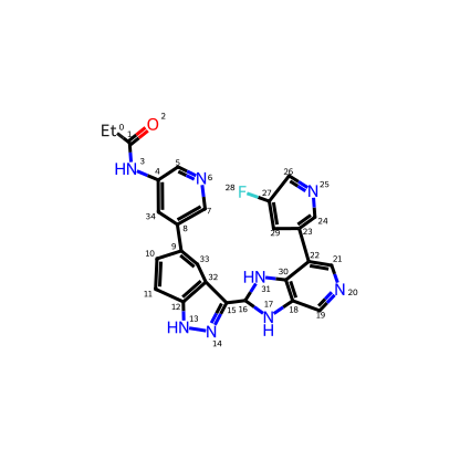 CCC(=O)Nc1cncc(-c2ccc3[nH]nc(C4Nc5cncc(-c6cncc(F)c6)c5N4)c3c2)c1